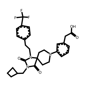 O=C(O)Cc1cccc(N2CCC3(CC2)C(=O)N(CC2CCC2)C(=O)N3CCc2ccc(C(F)(F)F)cc2)c1